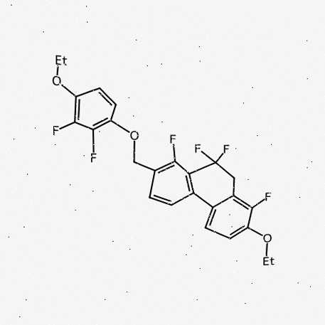 CCOc1ccc(OCc2ccc3c(c2F)C(F)(F)Cc2c-3ccc(OCC)c2F)c(F)c1F